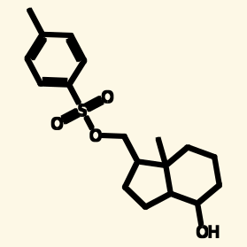 Cc1ccc(S(=O)(=O)OCC2CCC3C(O)CCCC23C)cc1